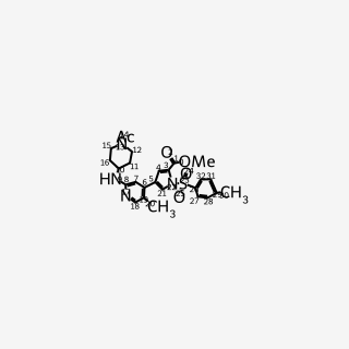 COC(=O)c1cc(-c2cc(NC3CCN(C(C)=O)CC3)ncc2C)cn1S(=O)(=O)c1ccc(C)cc1